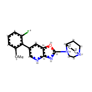 COc1cccc(F)c1-c1cnc2nc(N3CCN4CCC3CC4)oc2c1